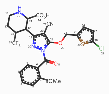 COc1ccccc1C(=O)n1nc(C2C(C(=O)O)NCCC2C(F)(F)F)c(C#N)c1OCc1ccc(Cl)s1